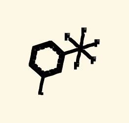 [CH2]c1cccc(S(F)(F)(F)(F)F)c1